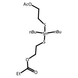 CCC[CH2][Sn]([CH2]CCC)([S]CCOC(C)=O)[S]CCOC(=O)CC